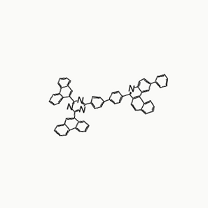 c1ccc(-c2ccc3nc(-c4ccc(-c5ccc(-c6nc(-c7cc8ccccc8c8ccccc78)nc(-c7cc8ccccc8c8ccccc78)n6)cc5)cc4)c4ccc5ccccc5c4c3c2)cc1